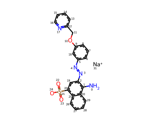 Nc1c(N=Nc2cccc(OCc3ccccn3)c2)cc(S(=O)(=O)[O-])c2ccccc12.[Na+]